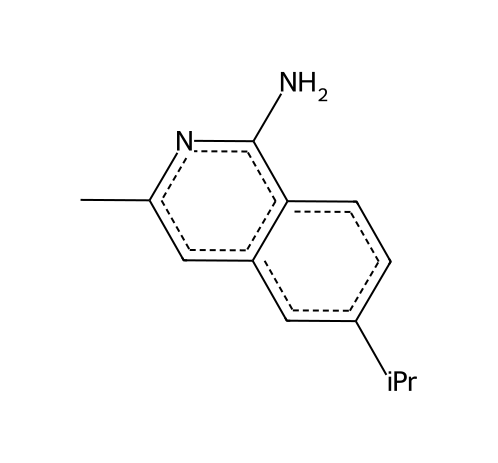 Cc1cc2cc(C(C)C)ccc2c(N)n1